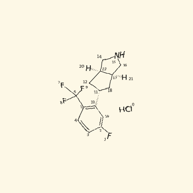 Cl.Fc1ccc(C(F)(F)F)c([C@@H]2C[C@H]3CNC[C@H]3C2)c1